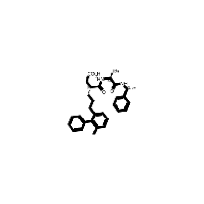 Cc1cccc(CCC[C@H](CC(=O)O)C(=O)N[C@H](C(=O)N[C@H](C)c2ccccc2)C(C)(C)C)c1-c1ccccc1